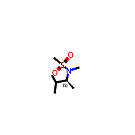 CC(C)[C@H](C)N(C)S(C)(=O)=O